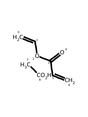 C=COC(=O)C=C.CC(=O)O